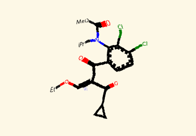 CCO/C=C(\C(=O)c1ccc(Cl)c(Cl)c1N(C(=O)OC)C(C)C)C(=O)C1CC1